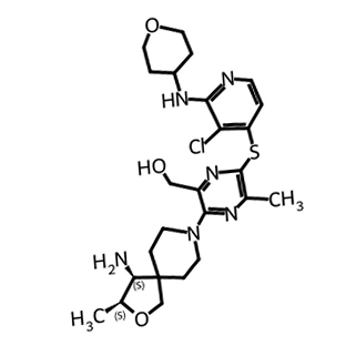 Cc1nc(N2CCC3(CC2)CO[C@@H](C)[C@H]3N)c(CO)nc1Sc1ccnc(NC2CCOCC2)c1Cl